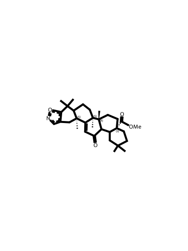 COC(=O)[C@]12CCC(C)(C)CC1C1C(=O)C=C3[C@@]4(C)Cc5cnoc5C(C)(C)C4CC[C@@]3(C)[C@]1(C)CC2